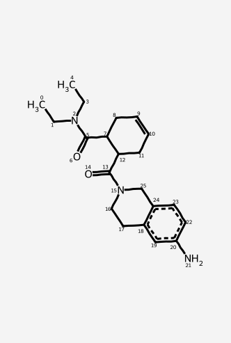 CCN(CC)C(=O)C1CC=CCC1C(=O)N1CCc2cc(N)ccc2C1